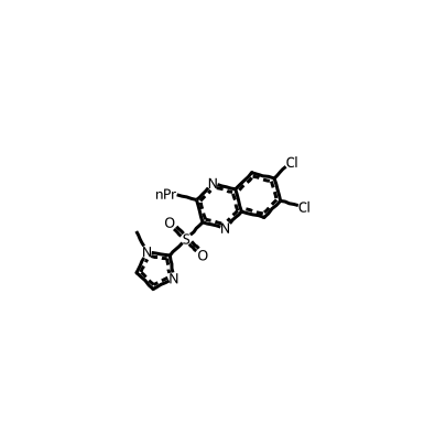 CCCc1nc2cc(Cl)c(Cl)cc2nc1S(=O)(=O)c1nccn1C